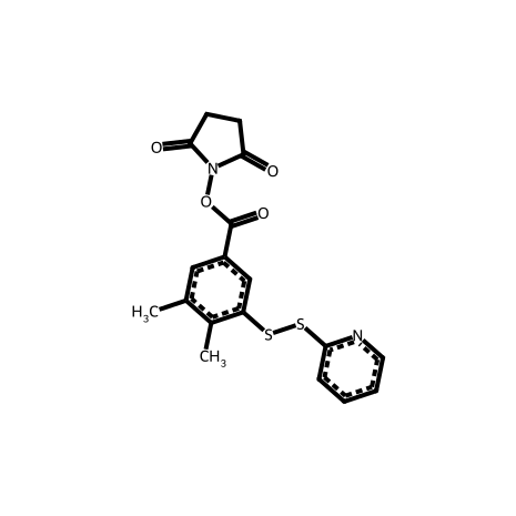 Cc1cc(C(=O)ON2C(=O)CCC2=O)cc(SSc2ccccn2)c1C